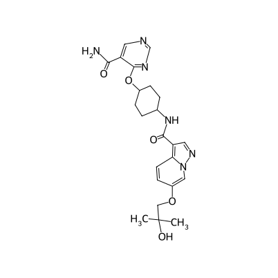 CC(C)(O)COc1ccc2c(C(=O)NC3CCC(Oc4ncncc4C(N)=O)CC3)cnn2c1